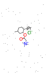 CC1CCC(C(C)C)C(OC(=O)C[N+](C)(C)C)C1.[Cl-]